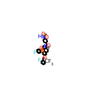 CS(=O)(=O)NC1CCC(C(=O)N2CC[C@@]3(S(=O)(=O)c4ccc(F)cc4)c4ccc(OCc5c(F)cccc5C(F)(F)F)cc4CC[C@@H]23)CC1